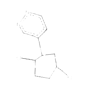 ClC1CCC(Cl)C(c2ccnnc2)C1